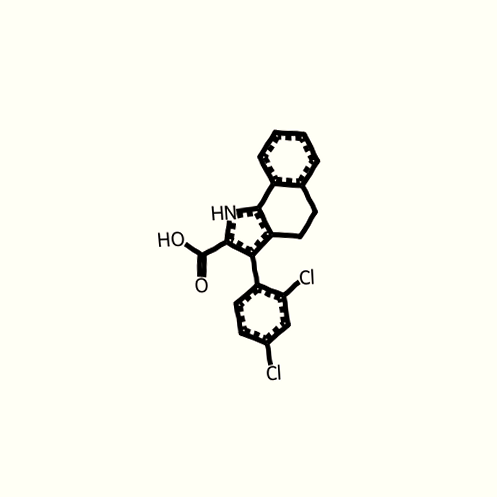 O=C(O)c1[nH]c2c(c1-c1ccc(Cl)cc1Cl)CCc1ccccc1-2